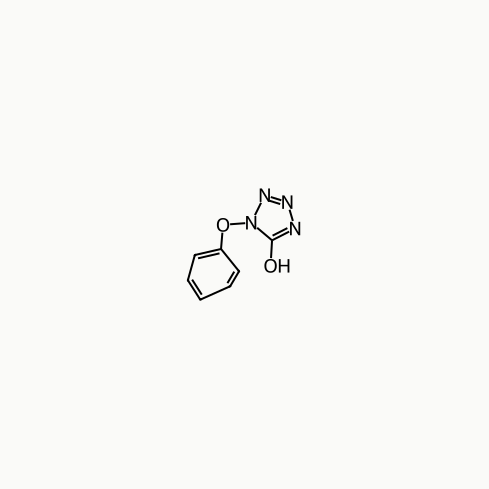 Oc1nnnn1Oc1ccccc1